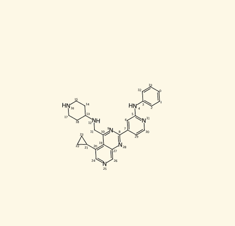 c1ccc(Nc2cc(-c3nc(CNC4CCNCC4)c4c(C5CC5)cncc4n3)ccn2)cc1